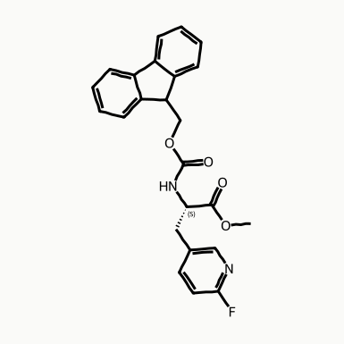 COC(=O)[C@H](Cc1ccc(F)nc1)NC(=O)OCC1c2ccccc2-c2ccccc21